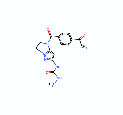 CNC(=O)Nc1cc2n(n1)CCN2C(=O)c1ccc(C(C)=O)cc1